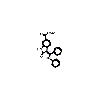 COC(=O)c1ccc2c(c1)NC(=O)/C2=C(\Nc1ccccc1)c1ccccc1